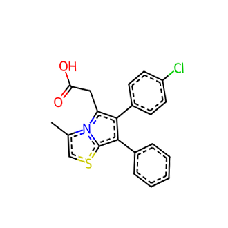 Cc1csc2c(-c3ccccc3)c(-c3ccc(Cl)cc3)c(CC(=O)O)n12